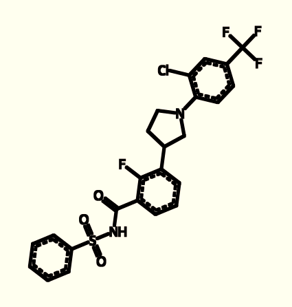 O=C(NS(=O)(=O)c1ccccc1)c1cccc(C2CCN(c3ccc(C(F)(F)F)cc3Cl)C2)c1F